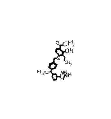 CCCc1c(SCc2ccc([C@@H](C)c3cccc(-c4nn[nH]n4)c3)cc2)ccc(C(C)=O)c1O